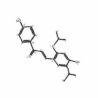 CC(C)Oc1cc(O)c(C(C)C)cc1/C=C/C(=O)c1ccc(O)cc1